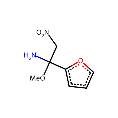 COC(N)(C[N+](=O)[O-])c1ccco1